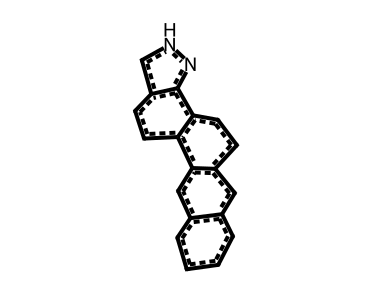 c1ccc2cc3c(ccc4c3ccc3c[nH]nc34)cc2c1